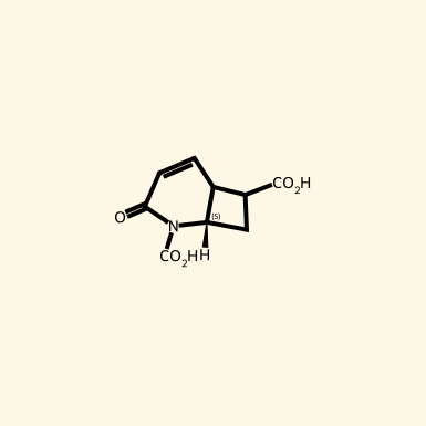 O=C(O)C1C[C@H]2C1C=CC(=O)N2C(=O)O